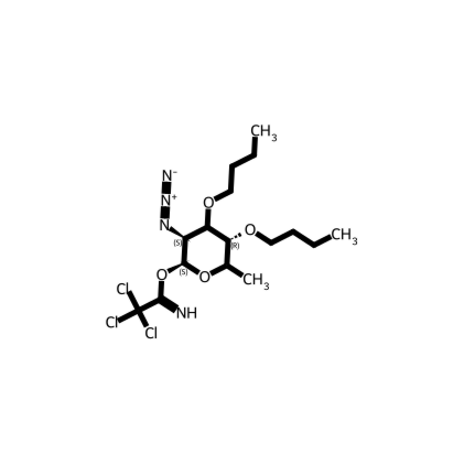 CCCCOC1[C@H](OCCCC)C(C)O[C@@H](OC(=N)C(Cl)(Cl)Cl)[C@H]1N=[N+]=[N-]